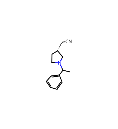 CC(c1ccccc1)N1CC[C@H](CC#N)C1